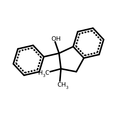 CC1(C)Cc2ccccc2C1(O)c1ccccc1